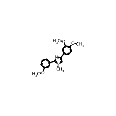 COc1cccc(-c2nc(-c3ccc(OC)c(OC)c3)cn2C)c1